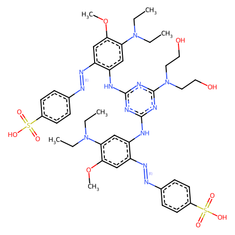 CCN(CC)c1cc(Nc2nc(Nc3cc(N(CC)CC)c(OC)cc3/N=N/c3ccc(S(=O)(=O)O)cc3)nc(N(CCO)CCO)n2)c(/N=N/c2ccc(S(=O)(=O)O)cc2)cc1OC